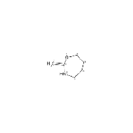 C=C1NCCCCO1